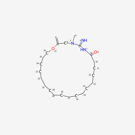 C=C1CN(C)C(=N)NC(=O)CCCCCCCCCCCCCCCCCO1